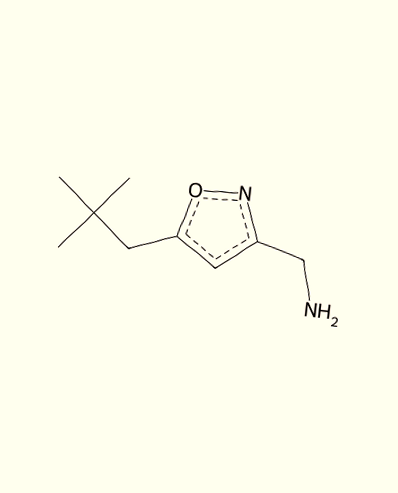 CC(C)(C)Cc1cc(CN)no1